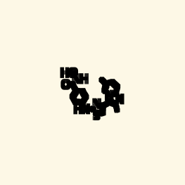 Cc1ccc2nc(C)c(-c3csc(Nc4ccc(C(=O)NO)cc4)n3)n2c1